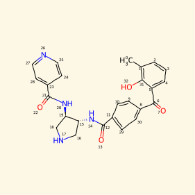 Cc1cccc(C(=O)c2ccc(C(=O)N[C@@H]3CNC[C@H]3NC(=O)c3ccncc3)cc2)c1O